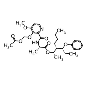 CCCC[C@@H]([C@H](C)OC(=O)[C@H](C)NC(=O)c1nccc(OC)c1OCOC(C)=O)[C@@H](CC)Oc1ccccc1